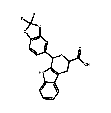 O=C(O)C1Cc2c([nH]c3ccccc23)C(c2ccc3c(c2)OC(F)(F)O3)N1